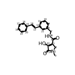 CN1CC(C(=O)NCc2cccc(C=Cc3ccccc3)c2)=C(O)C1=O